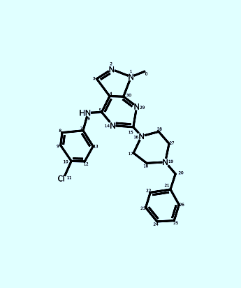 Cn1ncc2c(Nc3ccc(Cl)cc3)nc(N3CCN(Cc4ccccc4)CC3)nc21